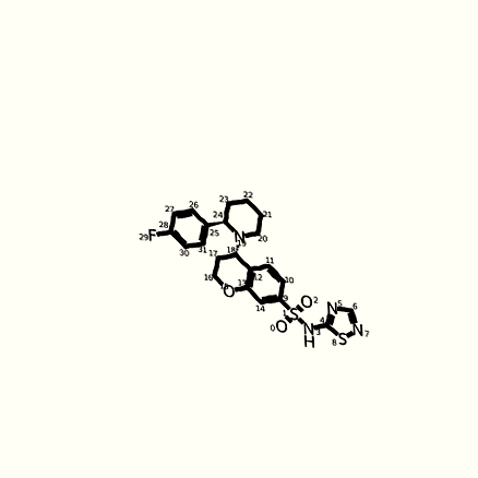 O=S(=O)(Nc1ncns1)c1ccc2c(c1)OCC[C@@H]2N1CCCC[C@@H]1c1ccc(F)cc1